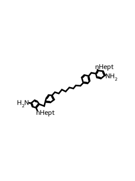 CCCCCCCc1cc(N)ccc1Cc1ccc(CCCCCCCCc2ccc(Cc3ccc(N)cc3CCCCCCC)cc2)cc1